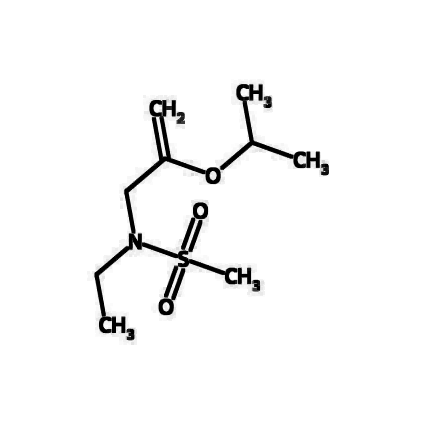 C=C(CN(CC)S(C)(=O)=O)OC(C)C